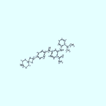 CN(C)c1nccnc1Nc1cc(Nc2ccc(N3CC4(CCNCC4)C3)cn2)ncc1C(N)=O